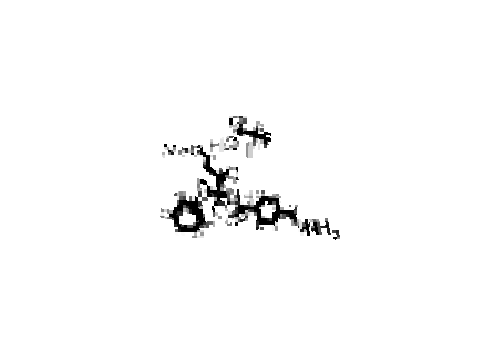 COCCC(=O)C(NC(=O)c1ccc(C=NN)cc1)(Oc1ccccc1)C(=O)O.O=C(O)C(F)(F)F